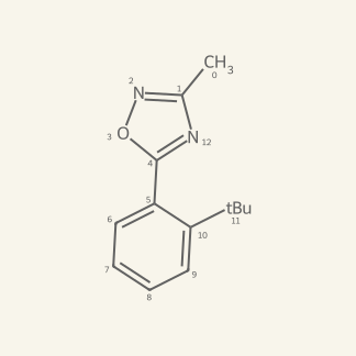 Cc1noc(-c2ccccc2C(C)(C)C)n1